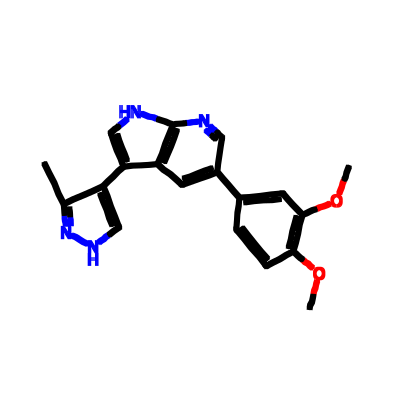 COc1ccc(-c2cnc3[nH]cc(-c4c[nH]nc4C)c3c2)cc1OC